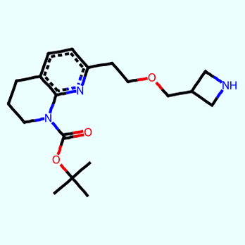 CC(C)(C)OC(=O)N1CCCc2ccc(CCOCC3CNC3)nc21